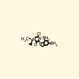 Bc1cc(B)c2c(c1)CCN2c1nc(Cl)cn([C@H](CC)C2CC2)c1=O